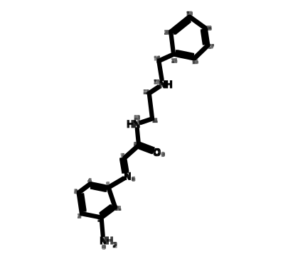 Nc1cccc(/N=C/C(=O)NCCNCc2ccccc2)c1